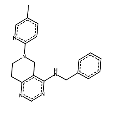 Cc1ccc(N2CCc3ncnc(NCc4ccccc4)c3C2)nc1